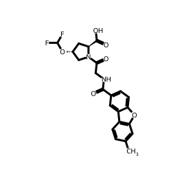 Cc1ccc2c(c1)oc1ccc(C(=O)NCC(=O)N3C[C@H](OC(F)F)C[C@H]3C(=O)O)cc12